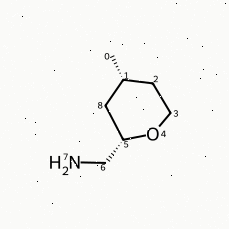 C[C@@H]1CCO[C@H](CN)C1